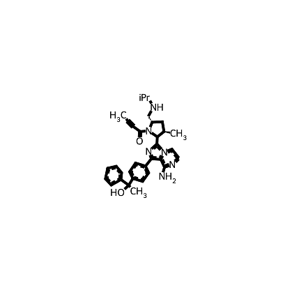 CC#CC(=O)N1C(c2nc(-c3ccc(C(C)(O)c4ccccc4)cc3)c3c(N)nccn23)[C@H](C)C[C@H]1CNC(C)C